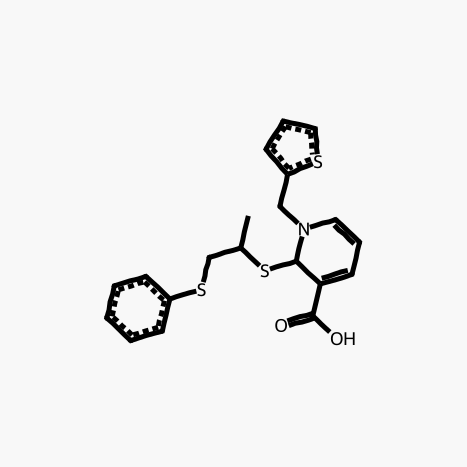 CC(CSc1ccccc1)SC1C(C(=O)O)=CC=CN1Cc1cccs1